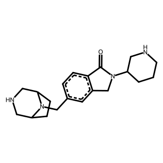 O=C1c2ccc(CN3C4CCC3CNC4)cc2CN1C1CCCNC1